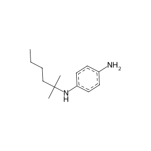 CCCCC(C)(C)Nc1ccc(N)cc1